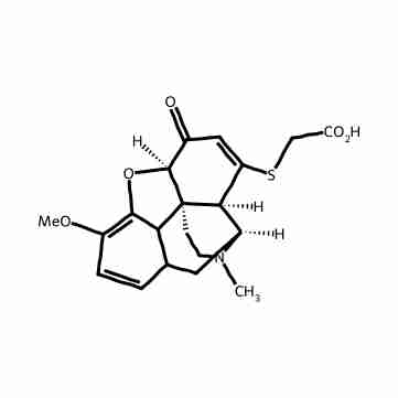 COC1=C2O[C@H]3C(=O)C=C(SCC(=O)O)[C@H]4[C@H]5CC(C=C1)C2[C@@]34CCN5C